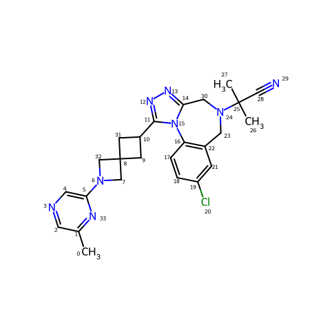 Cc1cncc(N2CC3(CC(c4nnc5n4-c4ccc(Cl)cc4CN(C(C)(C)C#N)C5)C3)C2)n1